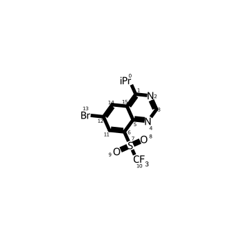 CC(C)c1ncnc2c(S(=O)(=O)C(F)(F)F)cc(Br)cc12